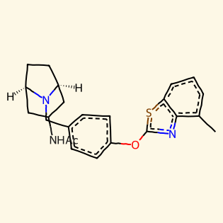 CC(=O)NC1C[C@H]2CC[C@@H](C1)N2Cc1ccc(Oc2nc3c(C)cccc3s2)cc1